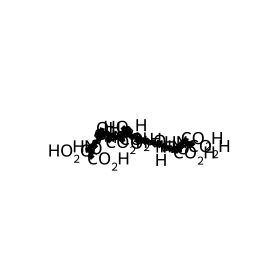 O=C(O)CCC(NC(=O)CCc1ccc(O)c(CN(CCN(CC(=O)O)Cc2cc(CCC(=O)NCCCCCC(=O)NCCCCC(NC(=O)NC(CCC(=O)O)C(=O)O)C(=O)O)ccc2O)CC(=O)O)c1)C(=O)O